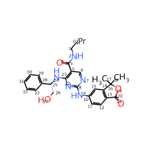 CC(C)CNC(=O)c1cnc(Nc2ccc3c(c2)C(C)(C)OC3=O)nc1N[C@H](CO)c1ccccc1